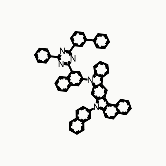 c1ccc(-c2cccc(-c3nc(-c4ccccc4)nc(-c4cc(-n5c6ccccc6c6cc7c8c9ccccc9ccc8n(-c8ccc9ccccc9c8)c7cc65)cc5ccccc45)n3)c2)cc1